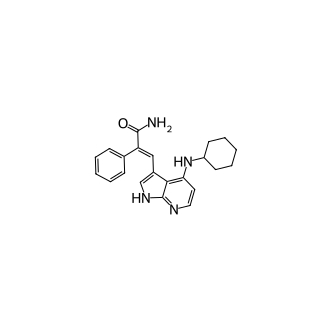 NC(=O)/C(=C/c1c[nH]c2nccc(NC3CCCCC3)c12)c1ccccc1